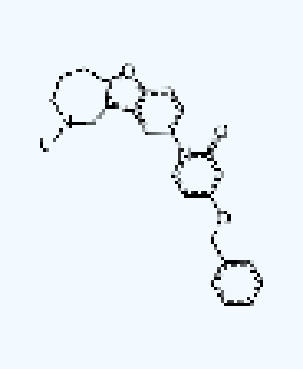 O=c1cc(OCc2ccccc2)ccn1-c1ccc2oc3c(c2c1)CN(Cl)CCC3